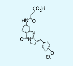 CCOc1ccc(C=C2CCn3c2nc2cc(NC(=O)CCC(=O)O)ccc2c3=O)cc1